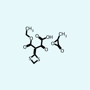 CC1OC1=O.CCOC(=O)C(C(=O)C(=O)O)=C1SCS1